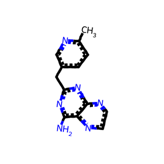 Cc1ccc(Cc2nc(N)c3nccnc3n2)cn1